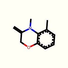 C=C1COc2cccc(C)c2N1C